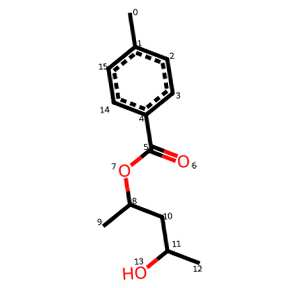 Cc1ccc(C(=O)OC(C)CC(C)O)cc1